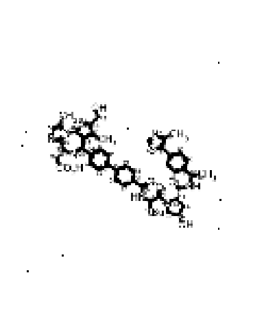 Cc1ncsc1-c1ccc(C(C)NC(=O)[C@@H]2C[C@@H](O)CN2C(=O)C(NC(=O)c2ccc(-c3ccc(C4=N[C@@H](CC(=O)O)c5nnc(C)n5-c5sc(CO)c(C)c54)cc3)cc2)C(C)(C)C)cc1